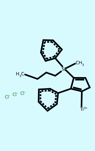 CCCC[Si](C)(C1=CC[C]([Ti+3])=C1c1ccccc1)c1ccccc1.[Cl-].[Cl-].[Cl-]